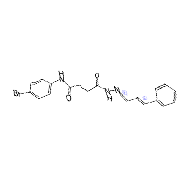 O=C(CCC(=O)Nc1ccc(Br)cc1)N/N=C/C=C/c1ccccc1